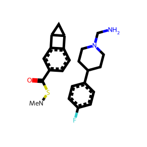 CNSC(=O)c1ccc2c(c1)C1CC21.NCN1CCC(c2ccc(F)cc2)CC1